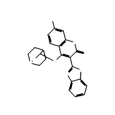 O=c1[nH]c2cc(F)ccc2c(NC2CN3CCC2CC3)c1-c1nc2ccccc2[nH]1